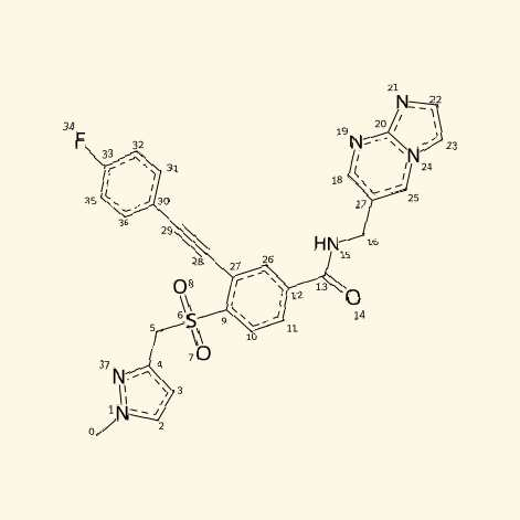 Cn1ccc(CS(=O)(=O)c2ccc(C(=O)NCc3cnc4nccn4c3)cc2C#Cc2ccc(F)cc2)n1